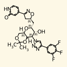 CC1(C)OC[C@H]2O[C@H](C[C@H]3CC(c4cc[nH]c(=O)c4)=NO3)[C@H](O)[C@@H](n3cc(-c4cc(F)c(F)c(F)c4)nn3)[C@H]2O1